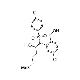 CSCCC[C@@H](C)N(c1cc(Cl)ccc1CO)S(=O)(=O)c1ccc(Cl)cc1